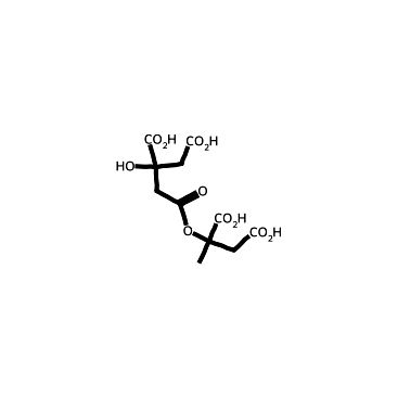 CC(CC(=O)O)(OC(=O)CC(O)(CC(=O)O)C(=O)O)C(=O)O